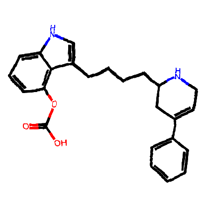 O=C(O)Oc1cccc2[nH]cc(CCCCC3CC(c4ccccc4)=CCN3)c12